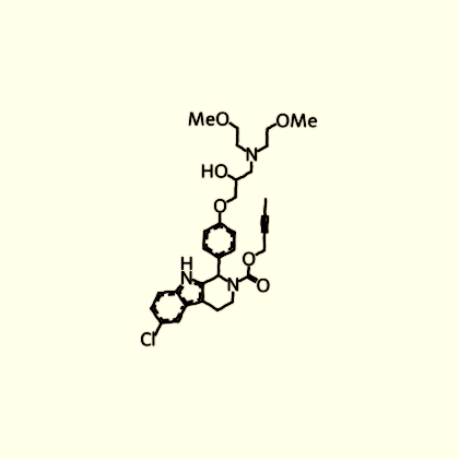 CC#CCOC(=O)N1CCc2c([nH]c3ccc(Cl)cc23)C1c1ccc(OCC(O)CN(CCOC)CCOC)cc1